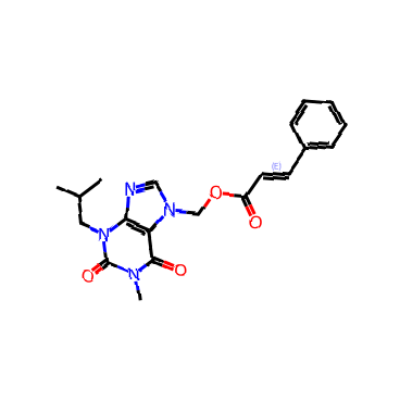 CC(C)Cn1c(=O)n(C)c(=O)c2c1ncn2COC(=O)/C=C/c1ccccc1